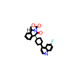 O=C1OC[C@H]2c3ccccc3[C@H](C3CCC(c4ccnc5ccc(F)cc45)CC3)C(=O)N12